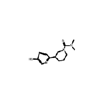 CN(C)C(=O)N1CCCC(c2ccc(S)cn2)C1